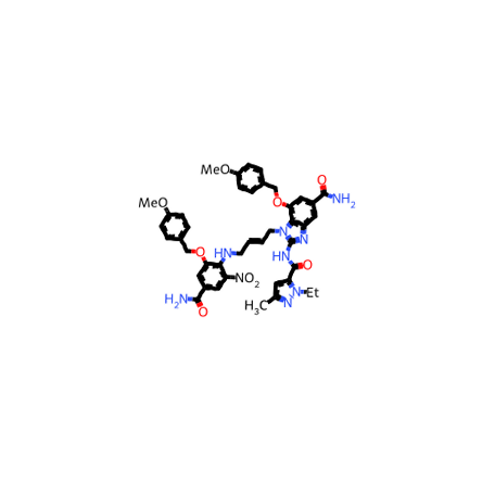 CCn1nc(C)cc1C(=O)Nc1nc2cc(C(N)=O)cc(OCc3ccc(OC)cc3)c2n1CC=CCNc1c(OCc2ccc(OC)cc2)cc(C(N)=O)cc1[N+](=O)[O-]